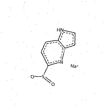 O=S([O-])c1ccc2[nH]ccc2n1.[Na+]